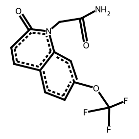 NC(=O)Cn1c(=O)ccc2ccc(OC(F)(F)F)cc21